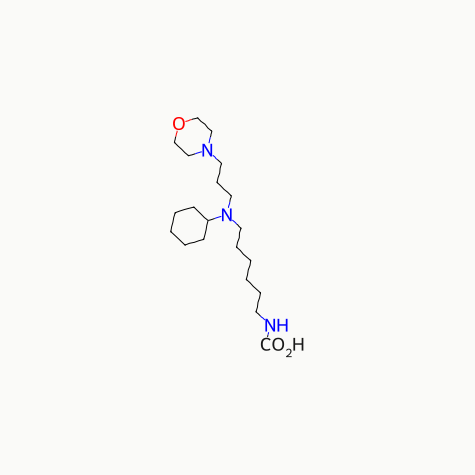 O=C(O)NCCCCCCN(CCCN1CCOCC1)C1CCCCC1